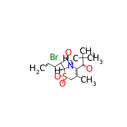 C=CC[C@@]1(Br)C(=O)N2C(C(=O)C(C)(C)C)=C(C)CS(=O)(=O)[C@@H]21